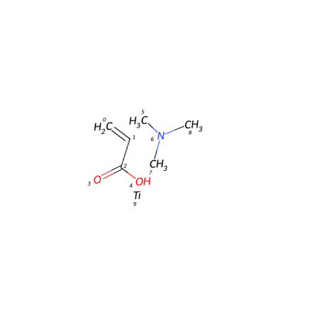 C=CC(=O)O.CN(C)C.[Ti]